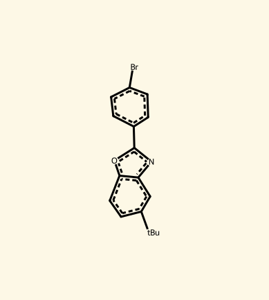 CC(C)(C)c1ccc2oc(-c3ccc(Br)cc3)nc2c1